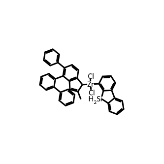 CC1=Cc2c(ccc(-c3ccccc3)c2-c2ccccc2-c2ccccc2)[CH]1[Zr]([Cl])([Cl])[c]1cccc2c1[SiH2]c1ccccc1-2